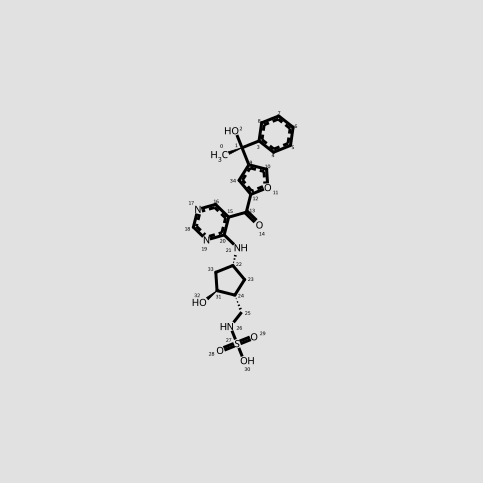 C[C@@](O)(c1ccccc1)c1coc(C(=O)c2cncnc2N[C@@H]2C[C@H](CNS(=O)(=O)O)[C@@H](O)C2)c1